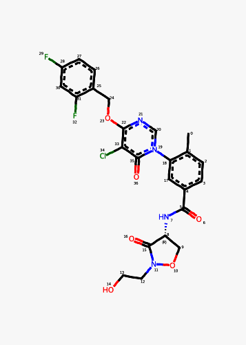 Cc1ccc(C(=O)N[C@@H]2CON(CCO)C2=O)cc1-n1cnc(OCc2ccc(F)cc2F)c(Cl)c1=O